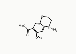 COC(=O)c1cc2c(cc1OC)[C@@H](N)CCS2